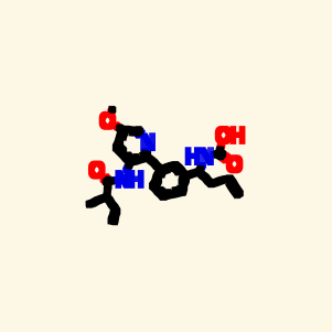 C=CCC(NC(=O)O)c1cccc(-c2ncc(OC)cc2NC(=O)C(C)C=C)c1